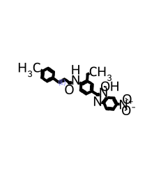 CCc1cc(-c2nc3ccc([N+](=O)[O-])cc3n2O)ccc1NC(=O)/C=C/c1ccc(C)cc1